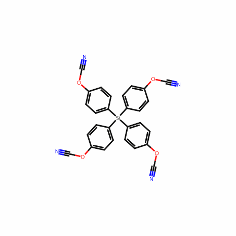 N#COc1ccc([Si](c2ccc(OC#N)cc2)(c2ccc(OC#N)cc2)c2ccc(OC#N)cc2)cc1